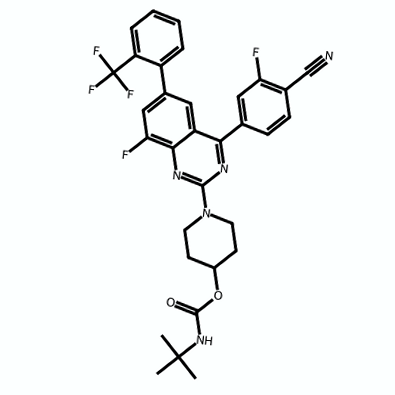 CC(C)(C)NC(=O)OC1CCN(c2nc(-c3ccc(C#N)c(F)c3)c3cc(-c4ccccc4C(F)(F)F)cc(F)c3n2)CC1